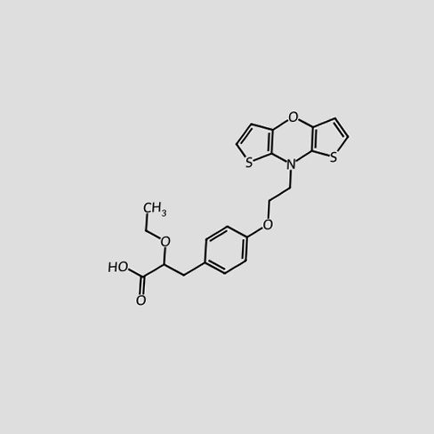 CCOC(Cc1ccc(OCCN2c3sccc3Oc3ccsc32)cc1)C(=O)O